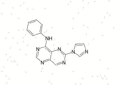 c1ccc(Nc2ncnc3cnc(-n4ccnc4)nc23)cc1